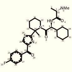 CN[C@@H](C)C(=O)N[C@H](C(=O)N1CCCCC1(C)c1nc(C(=O)c2ccc(F)cc2)cs1)C1CCCCC1